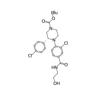 CC(C)(C)OC(=O)N1CCN(c2ccc(C(=O)NCCO)cc2Cl)[C@H](c2ccc(Cl)cc2)C1